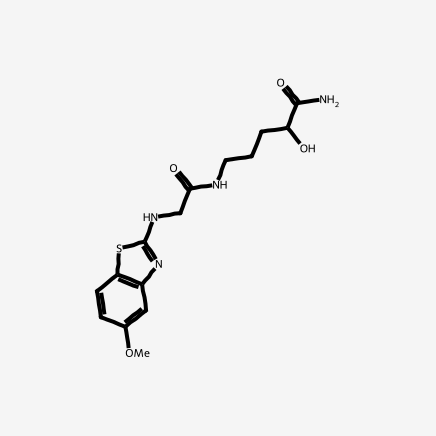 COc1ccc2sc(NCC(=O)NCCCC(O)C(N)=O)nc2c1